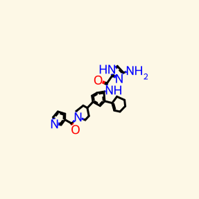 Nc1c[nH]c(C(=O)Nc2ccc(C3CCN(C(=O)c4cccnc4)CC3)cc2C2=CCCCC2)n1